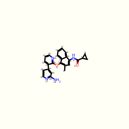 Cc1cc(NC(=O)C2CC2)c2ccccc2c1Oc1ncccc1-c1ccnc(N)c1